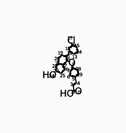 O=C(O)C=Cc1ccc(Oc2c(-c3cccc(Cl)c3)ccc3cc(O)ccc23)cc1